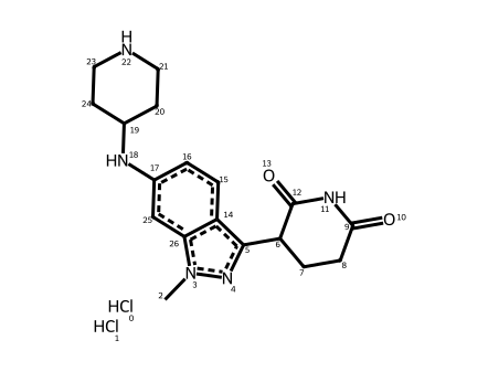 Cl.Cl.Cn1nc(C2CCC(=O)NC2=O)c2ccc(NC3CCNCC3)cc21